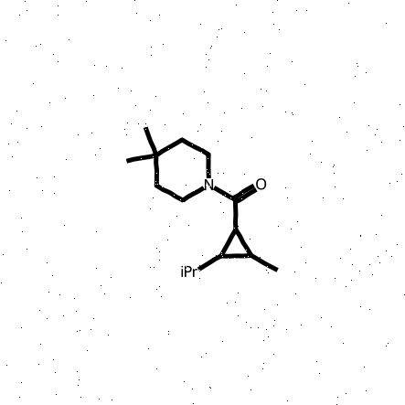 CC(C)C1C(C)C1C(=O)N1CCC(C)(C)CC1